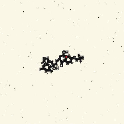 O=C(O)CN(CCC(O)(Cn1cncn1)c1ccc(F)cc1F)C(=O)c1ccc(OCC(F)(F)F)cc1